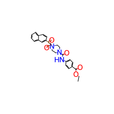 CCOC(=O)c1ccc(NC(=O)N2CCN(S(=O)(=O)c3ccc4ccccc4c3)CC2)cc1